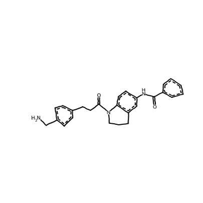 NCc1ccc(CCC(=O)N2CCCc3cc(NC(=O)c4ccccc4)ccc32)cc1